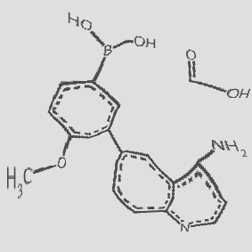 COc1ccc(B(O)O)cc1-c1ccc2nccc(N)c2c1.O=CO